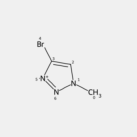 CN1C=C(Br)[N+]=N1